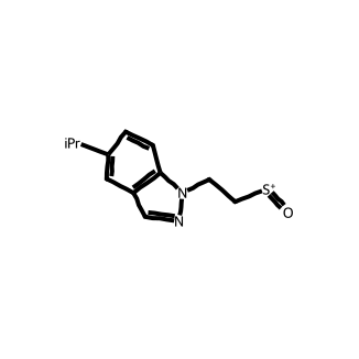 CC(C)c1ccc2c(cnn2CC[S+]=O)c1